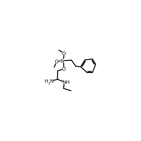 CCNC(N)CO[Si](CCc1ccccc1)(OC)OC